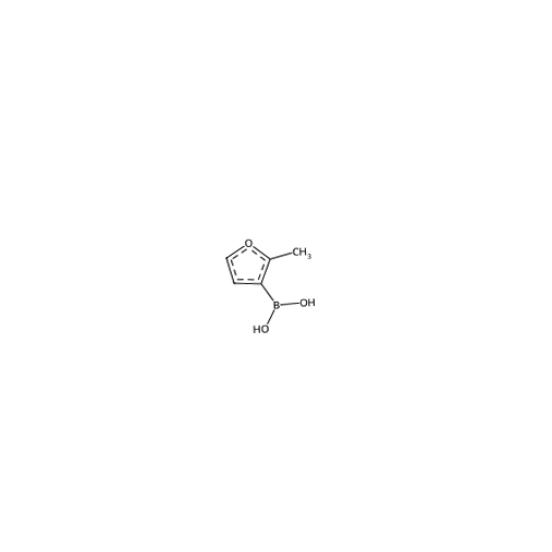 Cc1occc1B(O)O